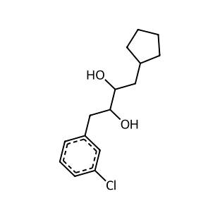 OC(Cc1cccc(Cl)c1)C(O)CC1CCCC1